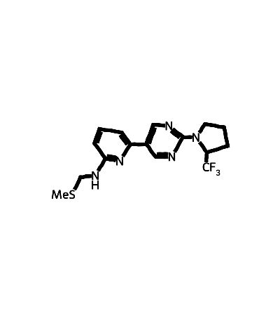 CSCNc1cccc(-c2cnc(N3CCCC3C(F)(F)F)nc2)n1